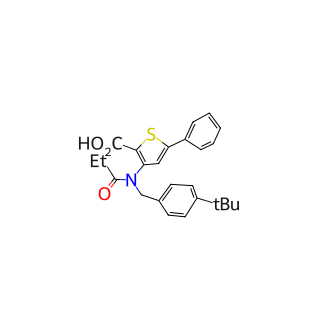 CCC(=O)N(Cc1ccc(C(C)(C)C)cc1)c1cc(-c2ccccc2)sc1C(=O)O